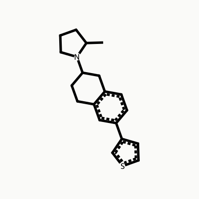 CC1CCCN1C1CCc2cc(-c3ccsc3)ccc2C1